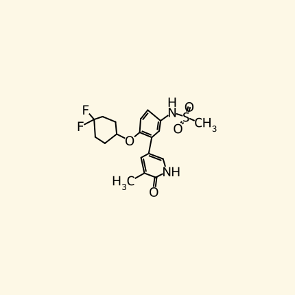 Cc1cc(-c2cc(NS(C)(=O)=O)ccc2OC2CCC(F)(F)CC2)c[nH]c1=O